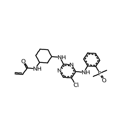 C=CC(=O)NC1CCCC(Nc2ncc(Cl)c(Nc3ccccc3P(C)(C)=O)n2)C1